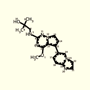 COc1nc(NCC(C)(C)O)nn2ccc(-c3ccc4nccn4c3)c12